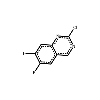 Fc1cc2cnc(Cl)nc2cc1F